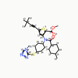 COC(=O)c1sc(C#CC(C)(C)C)cc1N(C(=O)C1CCC(C)CC1)C1CCC(Sc2nncn2C)CC1